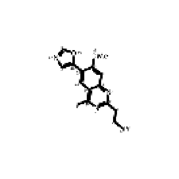 COc1cc2nc(CCC(C)C)nc(C)c2cc1-c1cnco1